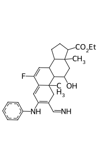 CCOC(=O)C1CCC2C3C=C(F)C4=CC(Nc5ccccc5)=C(C=N)CC4(C)C3C(O)CC12C